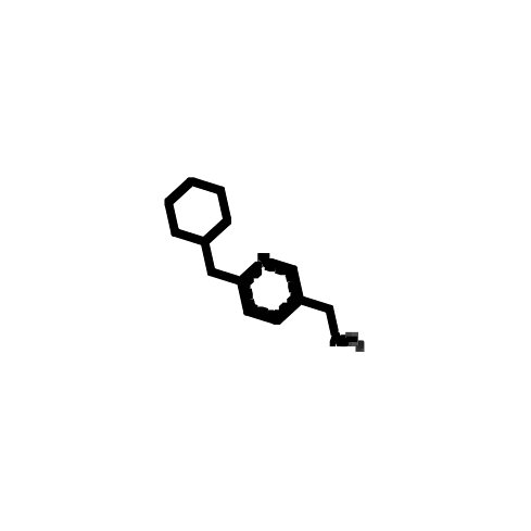 [AsH2]Cc1ccc(CC2CCCCC2)nc1